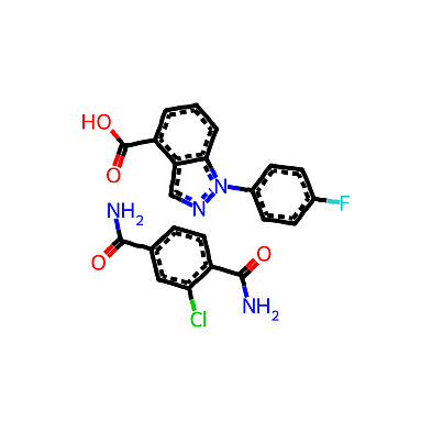 NC(=O)c1ccc(C(N)=O)c(Cl)c1.O=C(O)c1cccc2c1cnn2-c1ccc(F)cc1